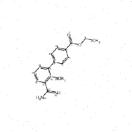 CCOC(=O)c1ccc(-c2cccc(C(=N)N)c2C)cc1